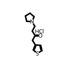 Cl.O=C(CCN1CCCC1)Cc1ccsc1